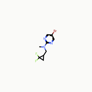 CN(CC1CC1(F)F)c1ncc(Br)cn1